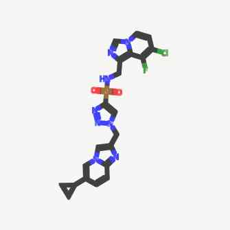 O=S(=O)(NCc1ncn2ccc(Cl)c(F)c12)c1cn(Cc2cn3cc(C4CC4)ccc3n2)nn1